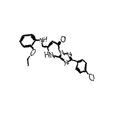 CCOc1ccccc1NCc1cc(=O)n2nc(-c3ccc(Cl)cc3)nc2[nH]1